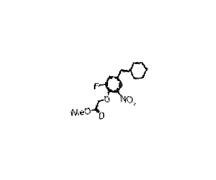 COC(=O)COc1c(F)cc(C=C2CCCCC2)cc1[N+](=O)[O-]